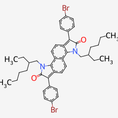 CCCCC(CC)CN1C(=O)C(c2ccc(Br)cc2)=c2ccc3c4c(ccc3c21)=C(c1ccc(Br)cc1)C(=O)N4CC(CC)CCCC